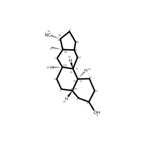 C[C@@]12C[C@@H]3CC[C@H]4CC(O)CC[C@@H]4[C@H]3CC1CC[C@H]2C#N